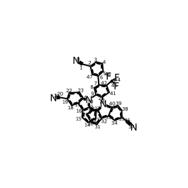 N#Cc1cccc(-c2cc(-n3c4ccccc4c4cc(C#N)ccc43)c(-n3c4ccccc4c4cc(C#N)ccc43)cc2C(F)(F)F)c1